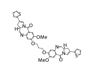 COc1cc2c(cc1OCCCOc1cc3c(cc1OC)C(=O)N1C=C(c4cccs4)C[C@H]1C=N3)N=C[C@@H]1CC(c3cccs3)=CN1C2=O